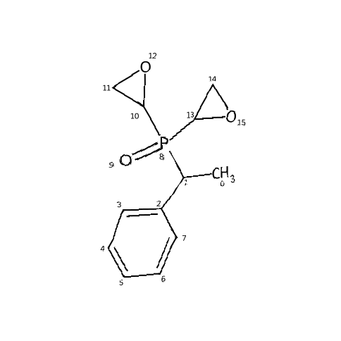 CC(c1ccccc1)P(=O)(C1CO1)C1CO1